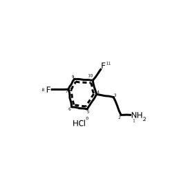 Cl.NCCc1ccc(F)cc1F